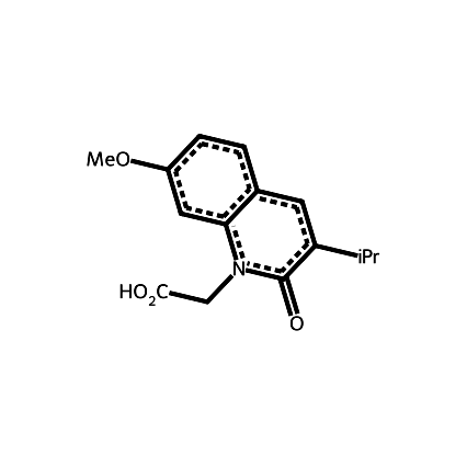 COc1ccc2cc(C(C)C)c(=O)n(CC(=O)O)c2c1